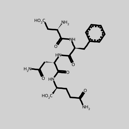 NC(=O)CC[C@H](NC(=O)[C@H](CC(N)=O)NC(=O)[C@H](Cc1ccccc1)NC(=O)[C@@H](N)CC(=O)O)C(=O)O